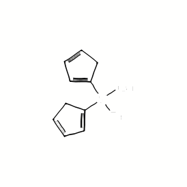 CC(C)(C)[Si]([Ta])(C1=CC=CC1)C1=CC=CC1